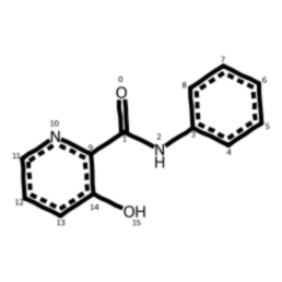 O=C(Nc1ccccc1)c1ncccc1O